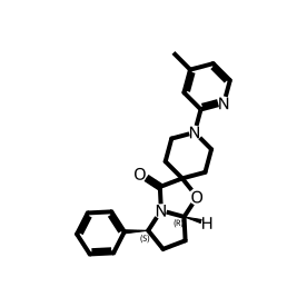 Cc1ccnc(N2CCC3(CC2)O[C@@H]2CC[C@@H](c4ccccc4)N2C3=O)c1